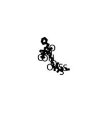 CCSC(=S)SC(CC)(CC)C(C)C(=O)OCCCCOC(=O)/C(=C/c1ccccc1)CC(CC)(CC)C(C)(C)C(=O)O